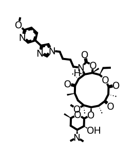 CC[C@H]1OC(=O)[C@H](C)C(=O)[C@H](C)[C@@H](OC2O[C@H](C)C[C@H](N(C)C)[C@H]2O)[C@@](C)(OC)C[C@@H](C)C(=O)[C@H](C)[C@H]2N(CCCCn3cnc(-c4ccc(OC)nc4)c3)C(=O)O[C@]12C